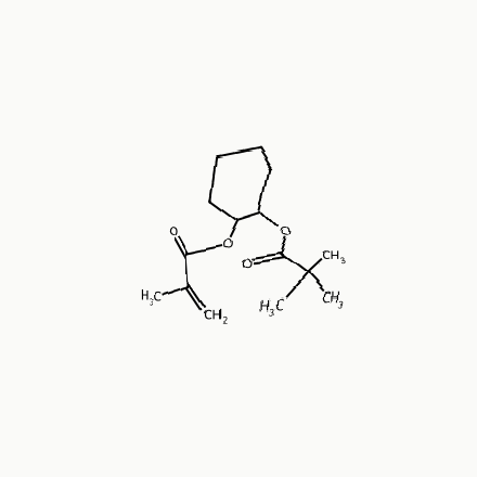 C=C(C)C(=O)OC1CCCCC1OC(=O)C(C)(C)C